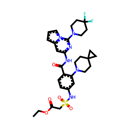 CCOC(=O)CS(=O)(=O)Nc1ccc(C(=O)Nc2cc3cccn3c(N3CCC(F)(F)CC3)n2)c(N2CCC3(CC2)CC3)c1